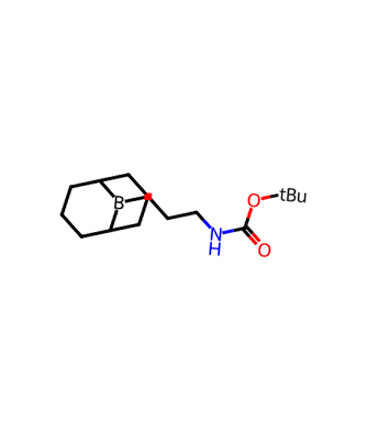 CC(C)(C)OC(=O)NCCCB1C2CCCC1CCC2